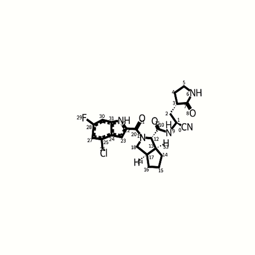 N#C[C@H](C[C@@H]1CCNC1=O)NC(=O)[C@@H]1[C@H]2CCC[C@H]2CN1C(=O)c1cc2c(Cl)cc(F)cc2[nH]1